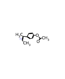 C/C=C(/C)c1ccc(OC(C)=O)cc1